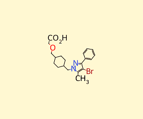 Cc1c(Br)c(-c2ccccc2)nn1CC1CCC(COCC(=O)O)CC1